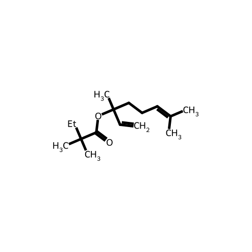 C=CC(C)(CCC=C(C)C)OC(=O)C(C)(C)CC